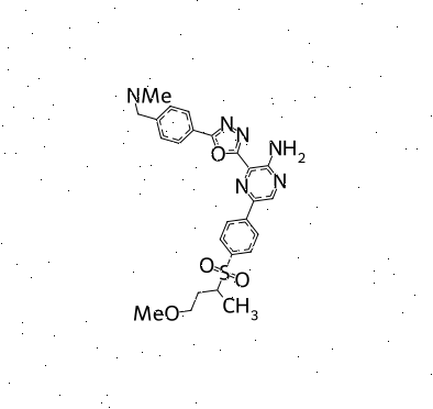 CNCc1ccc(-c2nnc(-c3nc(-c4ccc(S(=O)(=O)C(C)CCOC)cc4)cnc3N)o2)cc1